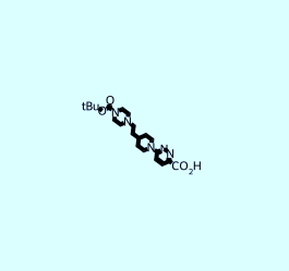 CC(C)(C)OC(=O)N1CCN(CCC2CCN(c3ccc(C(=O)O)nn3)CC2)CC1